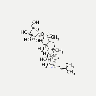 CC(C)=CC/C=C(/C)[C@H]1CC[C@@]2(C)[C@@H]1[C@@H](O)CC1[C@@]3(C)CCC(O[C@@H]4O[C@H](CO)[C@@H](O)[C@H](O)[C@H]4O)C(C)(C)C3CC[C@]12C